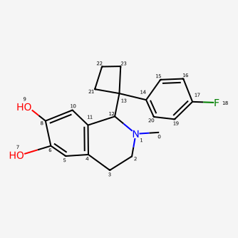 CN1CCc2cc(O)c(O)cc2C1C1(c2ccc(F)cc2)CCC1